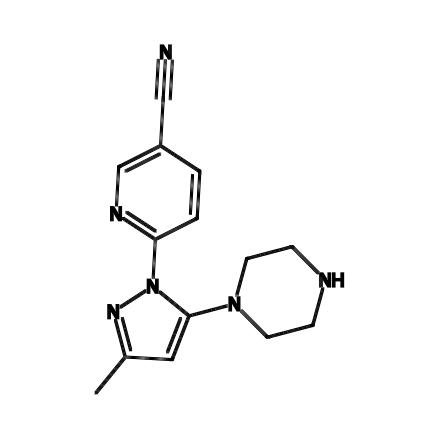 Cc1cc(N2CCNCC2)n(-c2ccc(C#N)cn2)n1